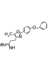 CC[C@@H](C)C(=N)CCc1nc(-c2ccc(OCc3ccccc3)cc2)oc1C